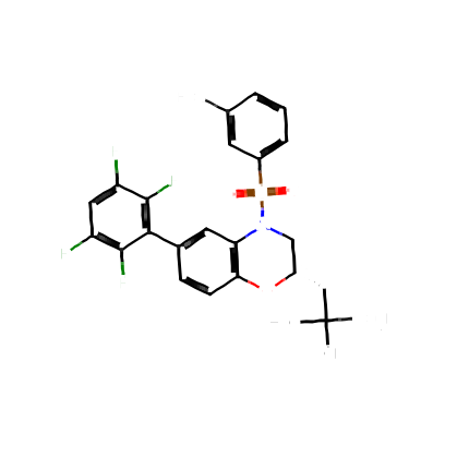 CC(C)(C[C@H]1CN(S(=O)(=O)c2cccc(C(F)(F)F)c2)c2cc(-c3c(F)c(F)cc(F)c3F)ccc2O1)C(=O)O